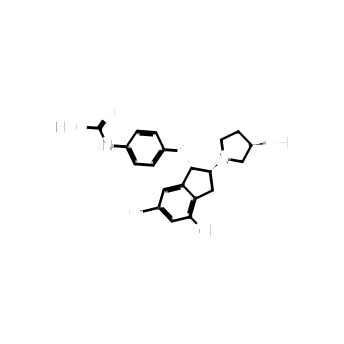 CC(=O)Nc1ccc(S[C@H]2c3cc(Cl)cc(Cl)c3C[C@@H]2N2CC[C@@H](O)C2)cc1